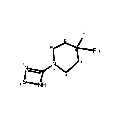 FC1(F)CCN(c2ns[nH]2)CC1